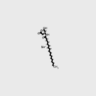 CCCCCCCCCCCCCCCCCC(=O)NN(CCO)CC(=O)[O-].[Na+]